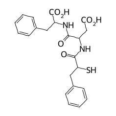 O=C(O)CC(NC(=O)C(S)Cc1ccccc1)C(=O)NC(Cc1ccccc1)C(=O)O